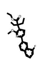 CCOC(=O)C(CC)(CC)c1ccc(-c2ccc3cccc(F)c3c2)nc1OC